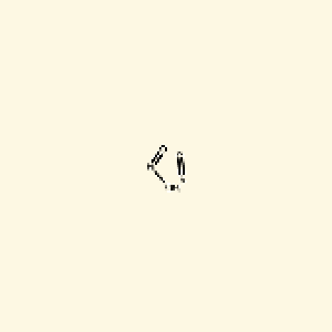 O=NO.O=S